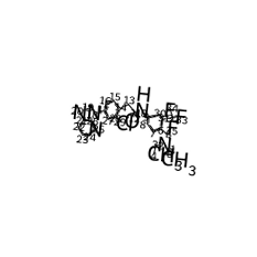 CCN(CC)Cc1ccc(NC(=O)Cc2ccc(-n3cnc4cccnc43)cc2Cl)cc1C(F)(F)F